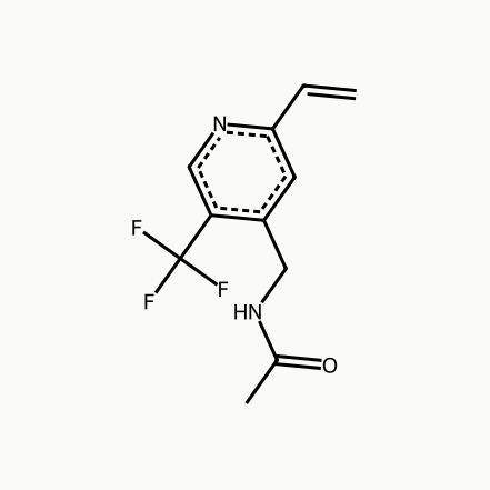 C=Cc1cc(CNC(C)=O)c(C(F)(F)F)cn1